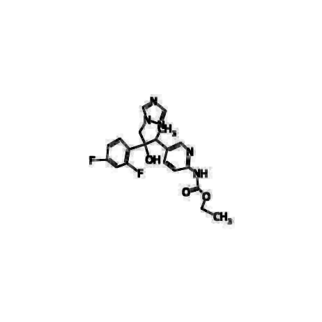 CCOC(=O)Nc1ccc(C(C)C(O)(Cn2cncn2)c2ccc(F)cc2F)cn1